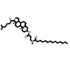 CCCCCCCCCCCCCC(=O)N(C)CCC(=O)OC1CC[C@@]2(C)C(=CCC3C2CC[C@@]2(C)C3CC[C@@H]2[C@H](C)CCCC(C)C)C1